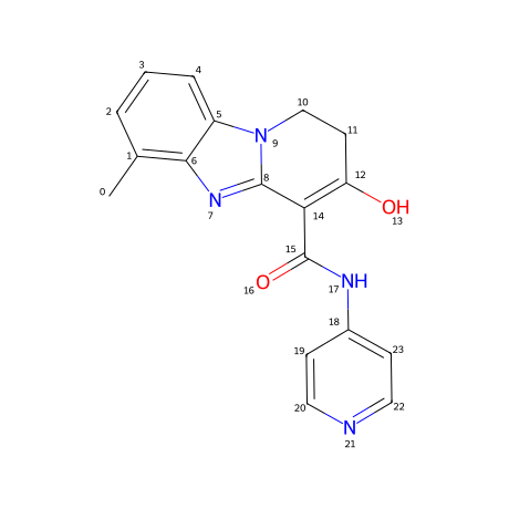 Cc1cccc2c1nc1n2CCC(O)=C1C(=O)Nc1ccncc1